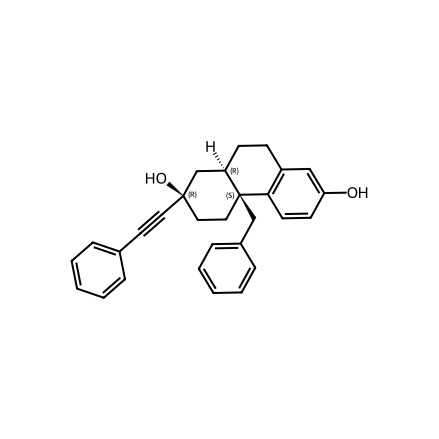 Oc1ccc2c(c1)CC[C@@H]1C[C@@](O)(C#Cc3ccccc3)CC[C@@]21Cc1ccccc1